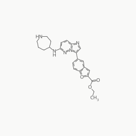 CCOC(=O)c1cc2cc(-c3cnc4ccc(NC5CCCNCC5)nn34)ccc2o1